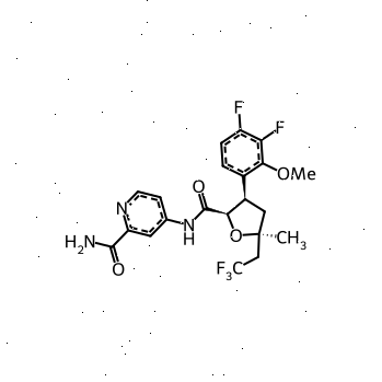 COc1c([C@H]2C[C@@](C)(CC(F)(F)F)O[C@H]2C(=O)Nc2ccnc(C(N)=O)c2)ccc(F)c1F